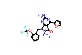 CN1C(=O)c2c(-c3ccco3)nc(N)nc2C1Cc1ccccc1OC(F)(F)F